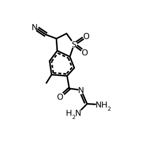 Cc1cc2c(cc1C(=O)N=C(N)N)S(=O)(=O)CC2C#N